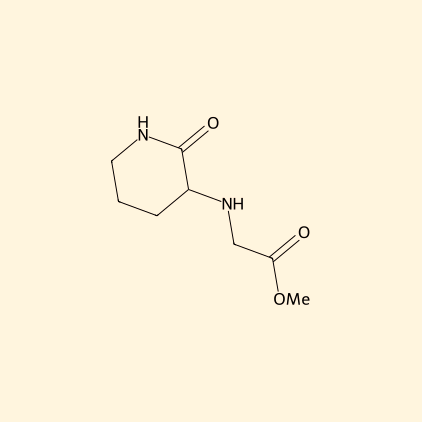 COC(=O)CNC1CCCNC1=O